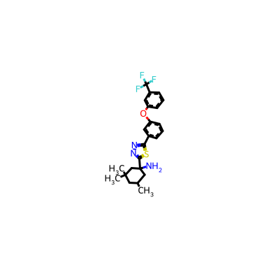 CC1CC(C)(C)CC(N)(c2nnc(-c3cccc(Oc4cccc(C(F)(F)F)c4)c3)s2)C1